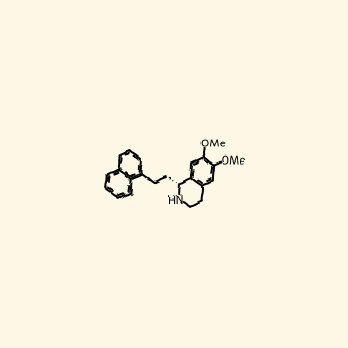 COc1cc2c(cc1OC)[C@@H](CCc1cccc3ccccc13)NCC2